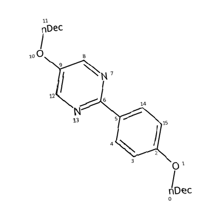 CCCCCCCCCCOc1ccc(-c2ncc(OCCCCCCCCCC)cn2)cc1